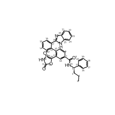 CCC[C@@H](NC(=O)c1ccc(-c2c(Cl)cccc2-c2nc3ccccc3[nH]2)c(-c2n[nH]c(=O)o2)c1)c1ccccc1